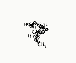 CCCCc1nc(Cl)c(C(=O)OC(C)OC(=O)OCC)n1Cc1ccc(-c2ccccc2-c2nnn(C(C)OC(=O)OCc3cccc(CON(O)O)c3)n2)cc1